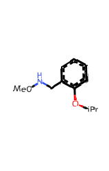 CONCc1ccccc1OC(C)C